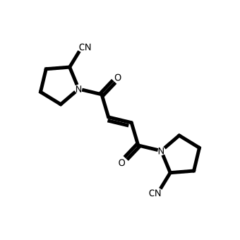 [C-]#[N+]C1CCCN1C(=O)/C=C/C(=O)N1CCCC1C#N